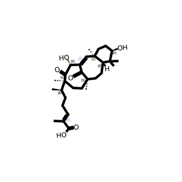 C/C(=C\CC[C@@H](C)[C@]1(C)CC[C@]2(C)CC[C@H]3C(C)(C)[C@H](O)CC[C@]3(C)/C=C(\C2=O)[C@@H](O)C1=O)C(=O)O